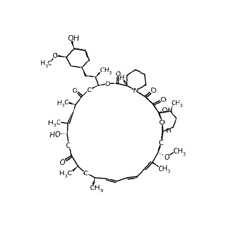 CO[C@H]1C[C@@H]2CC[C@@H](C)[C@@](O)(O2)C(=O)C(=O)N2CCCC[C@H]2C(=O)O[C@H]([C@H](C)C[C@@H]2CC[C@H](O)[C@H](OC)C2)CC(=O)[C@H](C)/C=C(\C)[C@@H](O)CC(=O)[C@H](C)C[C@H](C)/C=C/C=C/C=C/1C